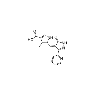 Cc1[nH]c(C=C2C(=O)NN=C2c2cnccn2)c(C)c1C(=O)O